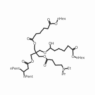 CCCCCCOC(=O)CCCCC(=O)OCC(COC(=O)CCCN(CC)C(C)C)(COC(=O)CC(CCCCC)CCCCC)COC(O)CCCCC(=O)OCCCCCC